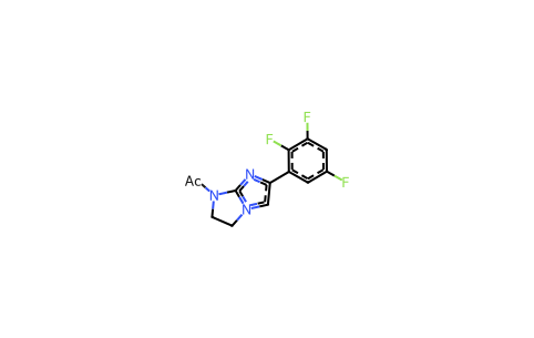 CC(=O)N1CCn2cc(-c3cc(F)cc(F)c3F)nc21